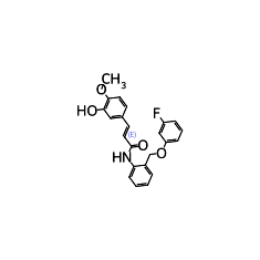 COc1ccc(/C=C/C(=O)Nc2ccccc2COc2cccc(F)c2)cc1O